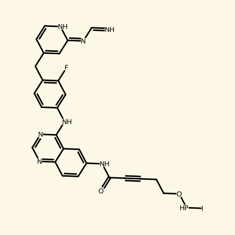 N=C/N=c1/cc(Cc2ccc(Nc3ncnc4ccc(NC(=O)C#CCCOPI)cc34)cc2F)cc[nH]1